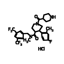 Cc1cc(F)ccc1C1CN(C(=O)C2CCNCC2)CCC1C(=O)N(C)Cc1cc(C(F)(F)F)cc(C(F)(F)F)c1.Cl